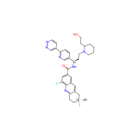 CC(C)[C@]1(F)CCc2nc3c(F)cc(C(=O)N[C@H](CCN4CCCCC4CCO)c4ccc(-c5ccnnc5)nc4)cc3cc2C1